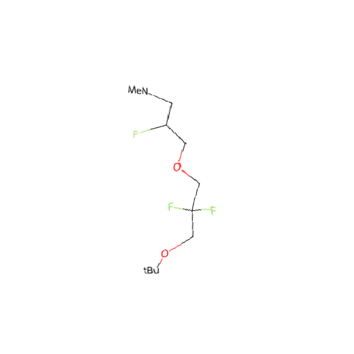 CNCC(F)COCC(F)(F)COC(C)(C)C